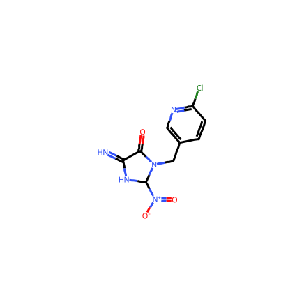 N=C1NC([N+](=O)[O-])N(Cc2ccc(Cl)nc2)C1=O